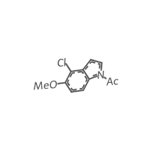 COc1ccc2c(ccn2C(C)=O)c1Cl